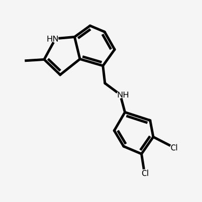 Cc1cc2c(CNc3ccc(Cl)c(Cl)c3)cccc2[nH]1